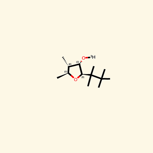 [3H]O[C@H]1[C@@H](C)[C@H](C)O[C@@H]1C(C)(C)C(C)(C)C